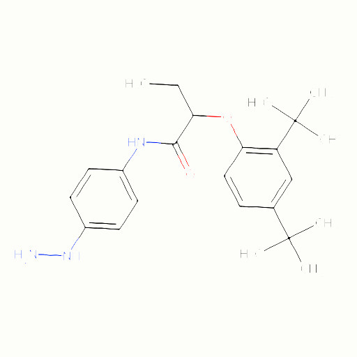 CCC(Oc1ccc(C(C)(C)C)cc1C(C)(C)C)C(=O)Nc1ccc(NN)cc1